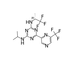 CC(C)Nc1nc(N[C@H](C)C(F)(F)F)nc(-c2cncc(C(F)(F)F)n2)n1